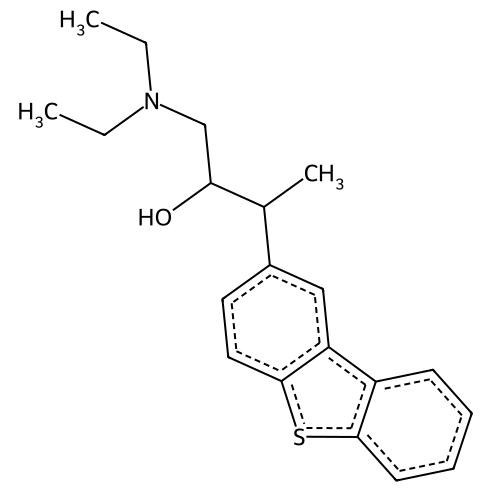 CCN(CC)CC(O)C(C)c1ccc2sc3ccccc3c2c1